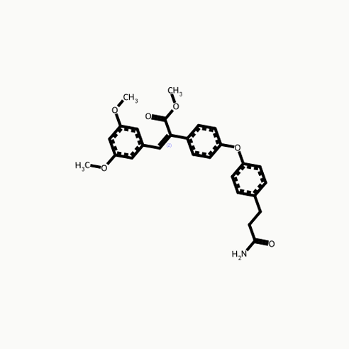 COC(=O)/C(=C\c1cc(OC)cc(OC)c1)c1ccc(Oc2ccc(CCC(N)=O)cc2)cc1